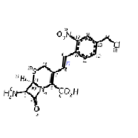 NC1C(=O)N2C(C(=O)O)=C(/C=C/c3ccc(CCl)cc3[N+](=O)[O-])CS[C@H]12